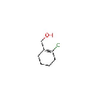 OCC1=C(Cl)CCCC1